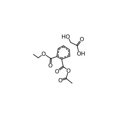 CCOC(=O)c1ccccc1C(=O)OC(C)=O.O=C(O)CO